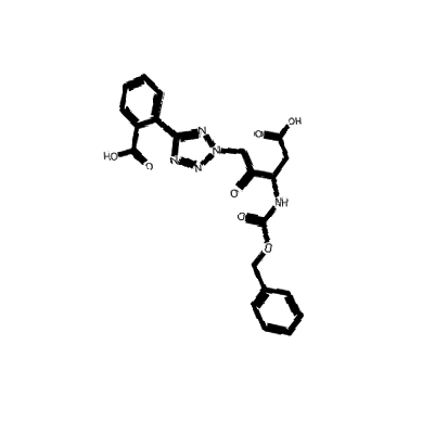 O=C(O)CC(NC(=O)OCc1ccccc1)C(=O)Cn1nnc(-c2ccccc2C(=O)O)n1